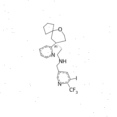 FC(F)(F)c1ncc(CNCC[C@@]2(c3ccccn3)CCOC3(CCCC3)C2)cc1I